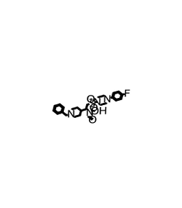 O=CN(O)C(CS(=O)(=O)N1CCN(c2ccc(F)cc2)CC1)C1CCN(Cc2ccccc2)CC1